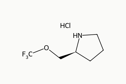 Cl.FC(F)(F)OC[C@@H]1CCCN1